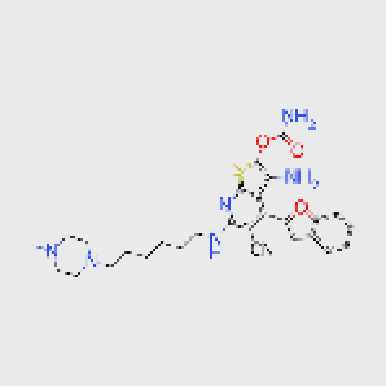 CN1CCN(CCCCCCNc2nc3sc(OC(N)=O)c(N)c3c(-c3cc4ccccc4o3)c2C#N)CC1